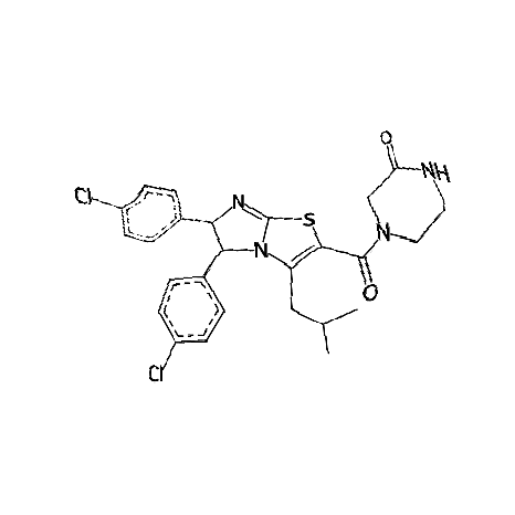 CC(C)CC1=C(C(=O)N2CCNC(=O)C2)SC2=NC(c3ccc(Cl)cc3)C(c3ccc(Cl)cc3)N21